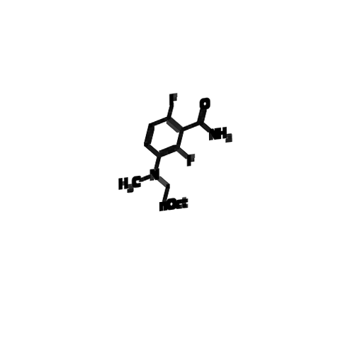 CCCCCCCCCN(C)c1ccc(F)c(C(N)=O)c1F